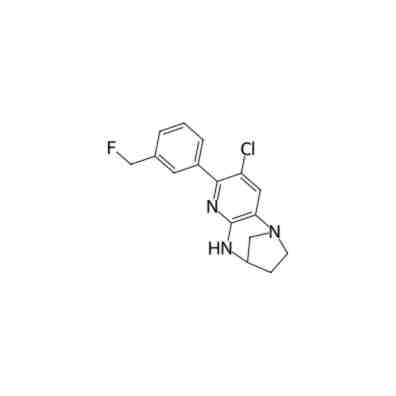 FCc1cccc(-c2nc3c(cc2Cl)N2CCC(C2)N3)c1